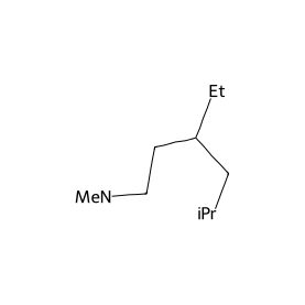 CCC(CCNC)CC(C)C